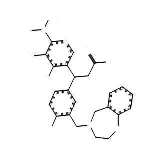 Cc1ccc(C(CC(=O)O)c2cnc(N(C)N)c(N)c2C)cc1CN1CCOc2ccccc2C1